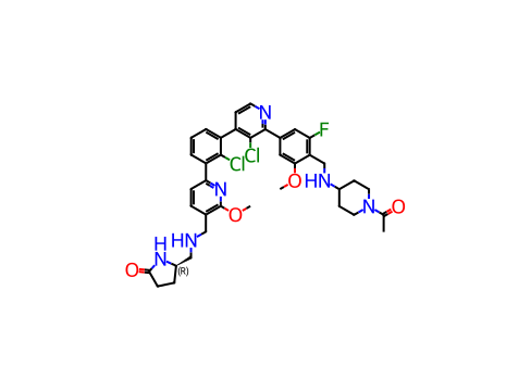 COc1cc(-c2nccc(-c3cccc(-c4ccc(CNC[C@H]5CCC(=O)N5)c(OC)n4)c3Cl)c2Cl)cc(F)c1CNC1CCN(C(C)=O)CC1